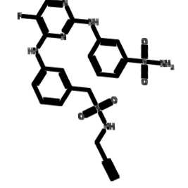 C#CCNS(=O)(=O)Cc1cccc(Nc2nc(Nc3cccc(S(N)(=O)=O)c3)ncc2F)c1